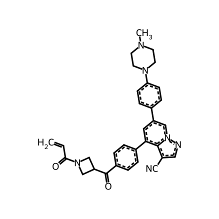 C=CC(=O)N1CC(C(=O)c2ccc(-c3cc(-c4ccc(N5CCN(C)CC5)cc4)cn4ncc(C#N)c34)cc2)C1